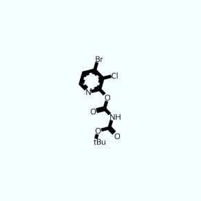 CC(C)(C)OC(=O)NC(=O)Oc1nccc(Br)c1Cl